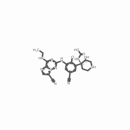 CCNc1nc(Nc2cc(C#N)cc([C@@]3(NC(=O)O)CCNC[C@@H]3O)c2Cl)nn2c(C#N)cnc12